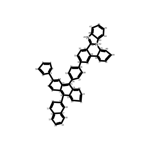 c1ccc(-c2ccc3c(-c4ccc5ccccc5c4)c4ccccc4c(-c4ccc(-c5ccc6c(c5)c5ccccc5n5c7ccccc7nc65)cc4)c3c2)cc1